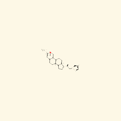 COCC[C@]12CC[C@@](C)(O)C[C@@H]1CC[C@H]1[C@@H]3CC[C@H](C(=O)Cn4cc(Cl)cn4)[C@@]3(C)CC[C@@H]12